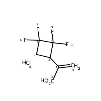 C=C(C(=O)O)C1CC(F)(F)C1(F)F.Cl